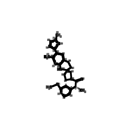 COc1cc([C@@H](C)C(=O)N2CC[C@@]3(CCc4cc(-c5nnn(C)n5)c(C)nc4N3)C2)ccn1